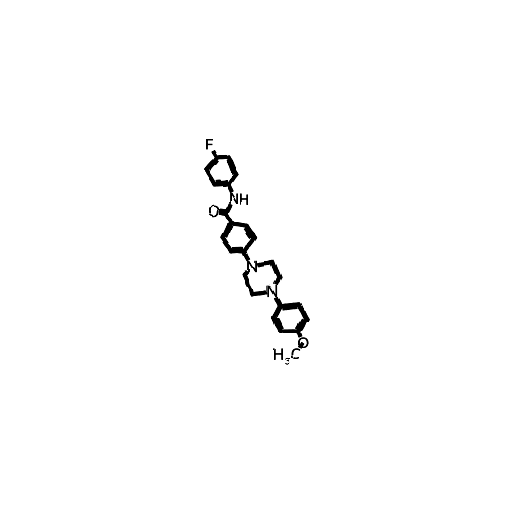 COc1ccc(N2CCN(c3ccc(C(=O)Nc4ccc(F)cc4)cc3)CC2)cc1